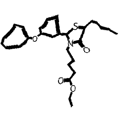 CCCCC1SC(c2cccc(Oc3ccccc3)c2)N(CCCCC(=O)OCC)C1=O